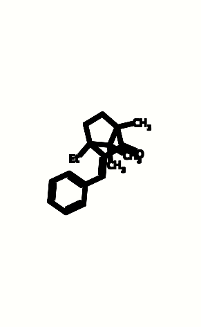 CCC12CCC(C)(C(=O)C1=Cc1ccccc1)C2(C)C